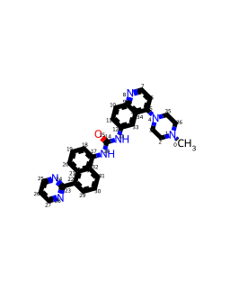 CN1CCN(c2ccnc3ccc(NC(=O)Nc4cccc5c(-c6ncccn6)cccc45)cc23)CC1